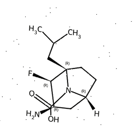 C[C](C)C[C@]12CC[C@H](C[C@@H](N)[C@H]1F)N2C(=O)O